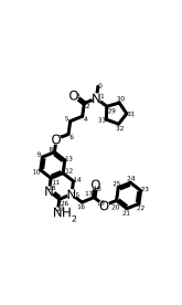 CN(C(=O)CCCOc1ccc2c(c1)CN(CC(=O)Oc1ccccc1)C(N)=N2)C1CCCC1